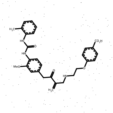 C=C(CNCCOc1ccc(C(=O)O)cc1)C(=O)Cc1ccc(NC(=O)Nc2ccccc2C)c(OC)c1